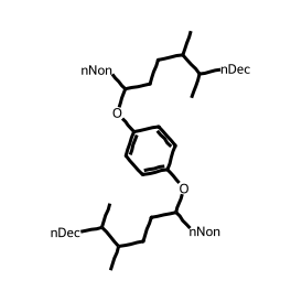 CCCCCCCCCCC(C)C(C)CCC(CCCCCCCCC)Oc1ccc(OC(CCCCCCCCC)CCC(C)C(C)CCCCCCCCCC)cc1